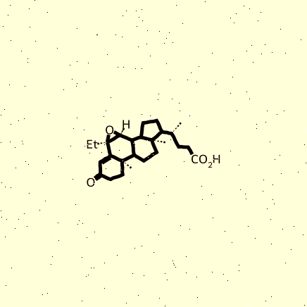 CC[C@]12O[C@H]1C1C3CCC([C@H](C)CCC(=O)O)[C@@]3(C)CCC1[C@@]1(C)CCC(=O)C=C12